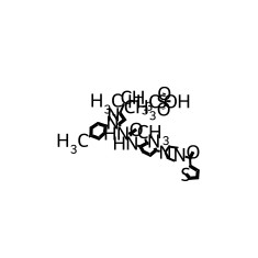 CS(=O)(=O)O.Cc1ccc(-n2nc(C(C)(C)C)cc2NC(=O)Nc2ccc(N3CCN(C(=O)c4cccs4)CC3)nc2C)cc1